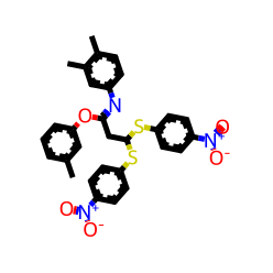 Cc1cccc(O/C(CC(Sc2ccc([N+](=O)[O-])cc2)Sc2ccc([N+](=O)[O-])cc2)=N\c2ccc(C)c(C)c2)c1